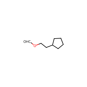 O=COCCC1CCCC1